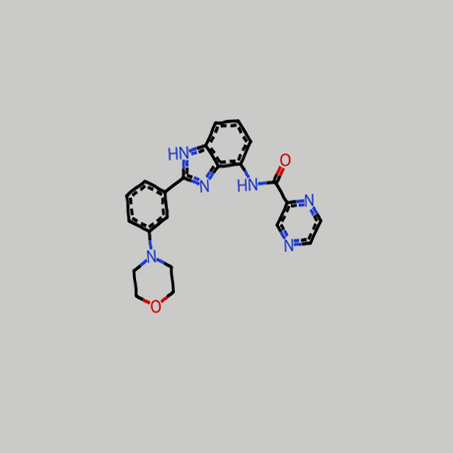 O=C(Nc1cccc2[nH]c(-c3cccc(N4CCOCC4)c3)nc12)c1cnccn1